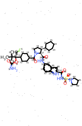 CC(C)(C)[C@@](CF)(OC(N)=O)C1CCC(C(=O)N2CC[C@@H](C3CCCCC3)[C@H]2C(=O)Nc2ccc3[nH]c(C(=O)NS(=O)(=O)N4CCCC4)cc3c2)CC1